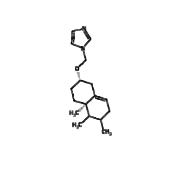 CC1CC=C2C[C@@H](OCn3ccnc3)CC[C@]2(C)C1C